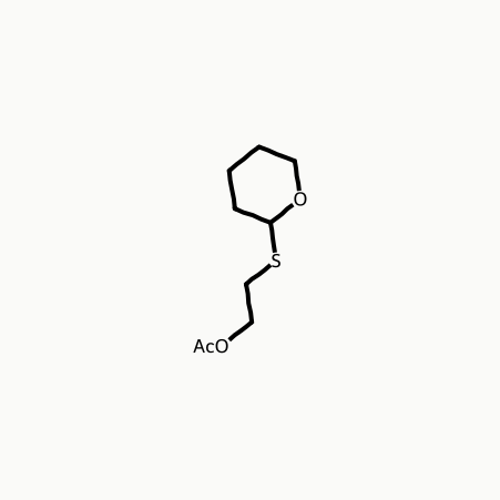 CC(=O)OCCSC1CCCCO1